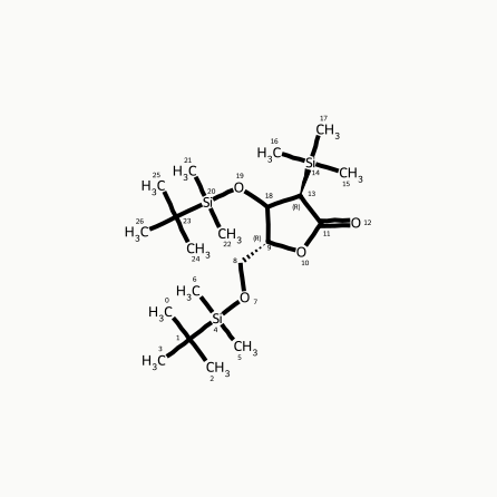 CC(C)(C)[Si](C)(C)OC[C@H]1OC(=O)[C@H]([Si](C)(C)C)C1O[Si](C)(C)C(C)(C)C